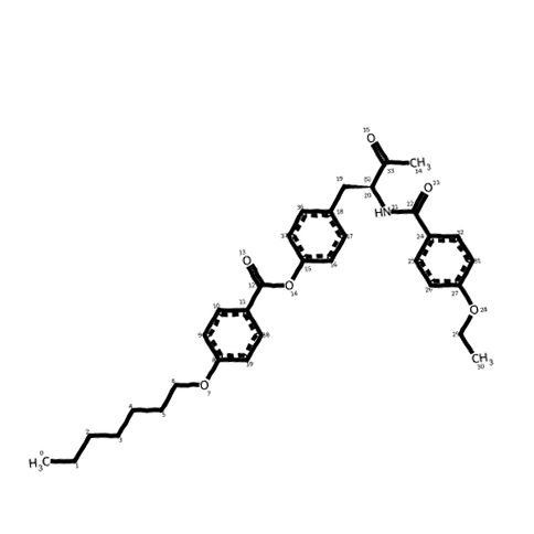 CCCCCCCOc1ccc(C(=O)Oc2ccc(C[C@H](NC(=O)c3ccc(OCC)cc3)C(C)=O)cc2)cc1